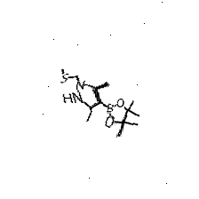 CSCN1NC(C)C(B2OC(C)(C)C(C)(C)O2)=C1C